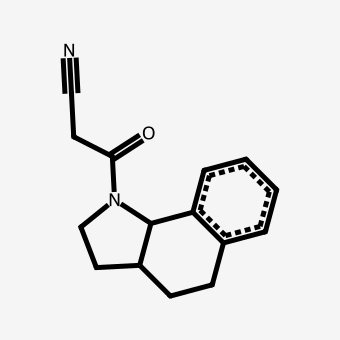 N#CCC(=O)N1CCC2CCc3ccccc3C21